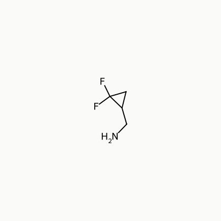 NCC1CC1(F)F